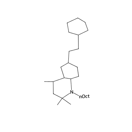 CCCCCCCCN1C2CCC(CCC3CCCCC3)CC2C(C)CC1(C)C